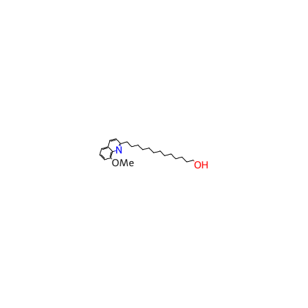 COc1cccc2ccc(CCCCCCCCCCCCCO)nc12